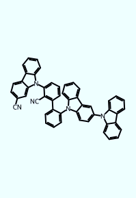 N#Cc1ccc2c3ccccc3n(-c3cccc(-c4ccccc4-n4c5ccccc5c5cc(-n6c7ccccc7c7ccccc76)ccc54)c3C#N)c2c1